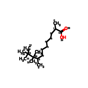 CC(CCCCCCC(C)C(C)(C)C(C)(C)C)C(=O)O